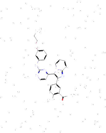 CNCCOc1cccc(Nc2nccc(-c3c(-c4ccc(OC)c(C(=O)OC)c4)nc4ccccn34)n2)c1